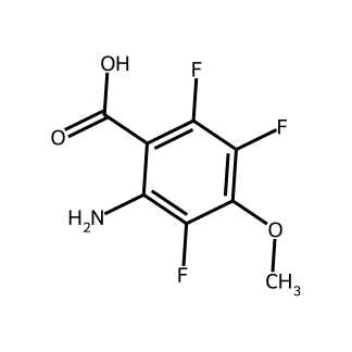 COc1c(F)c(N)c(C(=O)O)c(F)c1F